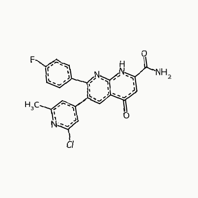 Cc1cc(-c2cc3c(=O)cc(C(N)=O)[nH]c3nc2-c2ccc(F)cc2)cc(Cl)n1